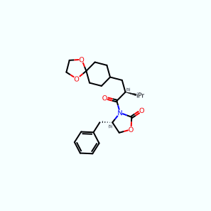 CC(C)[C@H](CC1CCC2(CC1)OCCO2)C(=O)N1C(=O)OC[C@@H]1Cc1ccccc1